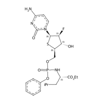 CCOC(=O)[C@H](CC(C)C)NP(=O)(OC[C@H]1S[C@@H](n2ccc(N)nc2=O)[C@@H](F)[C@@H]1O)Oc1ccccc1